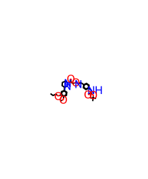 CCCOc1cc(C2=NN(C(=O)CO/N=C/c3ccc(NC(=O)OC(C)(C)C)cc3)CCC2)ccc1OC